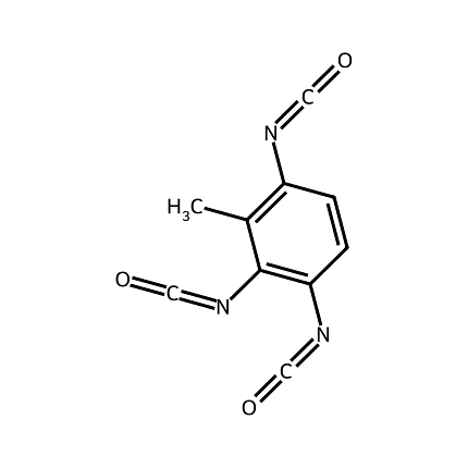 Cc1c(N=C=O)ccc(N=C=O)c1N=C=O